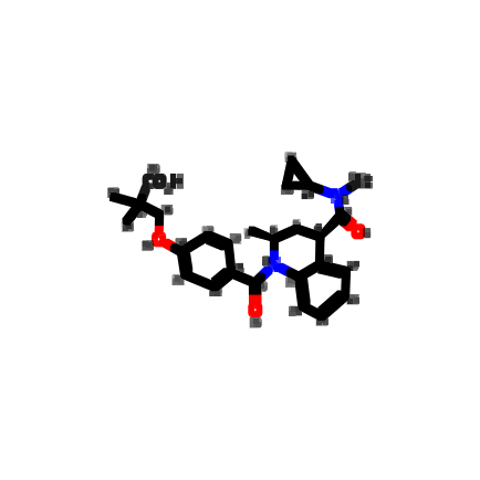 CCN(C(=O)[C@@H]1C[C@H](C)N(C(=O)c2ccc(OCC(C)(C)C(=O)O)cc2)c2ccccc21)C1CC1